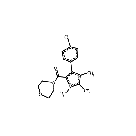 Cc1c(-c2ccc(Cl)cc2)c(C(=O)N2CCOCC2)n(C)c1C(F)(F)F